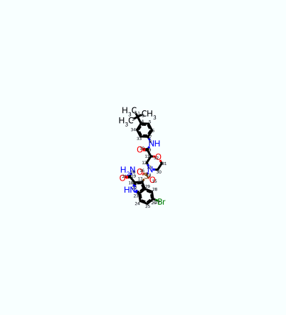 CC(C)(C)c1ccc(NC(=O)C2CN(S(=O)(=O)c3c(C(N)=O)[nH]c4ccc(Br)cc34)CCO2)cc1